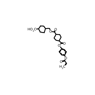 C=CC(=O)Oc1ccc(OC(=O)C2CCC(C(=O)OCC3CCC(C(=O)O)CC3)CC2)cc1